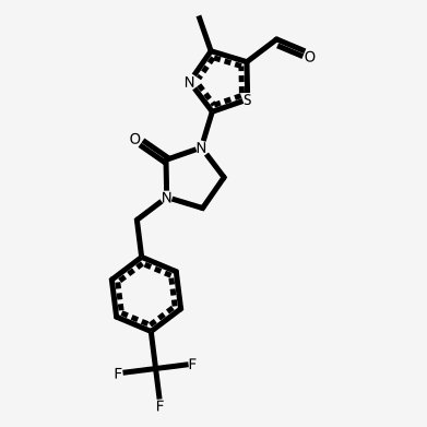 Cc1nc(N2CCN(Cc3ccc(C(F)(F)F)cc3)C2=O)sc1C=O